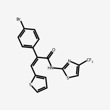 O=C(Nc1nc(C(F)(F)F)cs1)C(=Cc1cccs1)c1ccc(Br)cc1